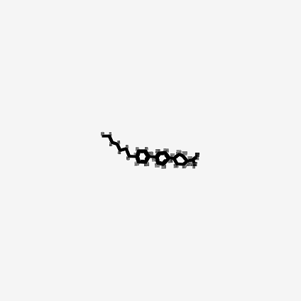 CCCCCCCc1ccc(-c2ccc(C3CCC(C(F)F)CC3)cc2)cc1